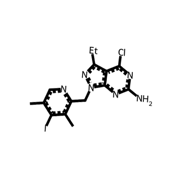 CCc1nn(Cc2ncc(C)c(I)c2C)c2nc(N)nc(Cl)c12